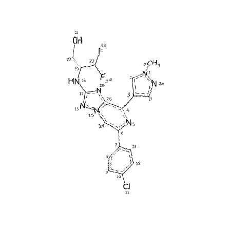 Cn1cc(-c2nc(-c3ccc(Cl)cc3)cn3nc(N[C@H](CO)C(F)F)nc23)cn1